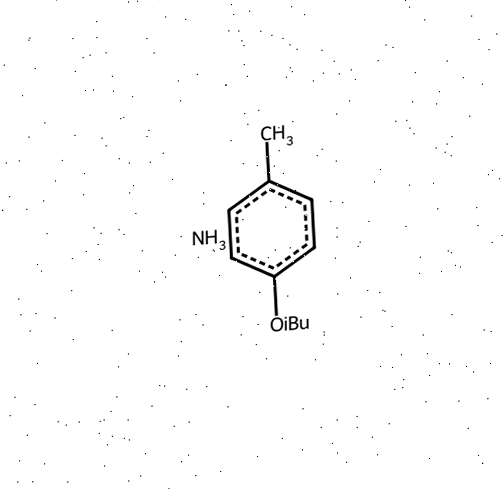 Cc1ccc(OCC(C)C)cc1.N